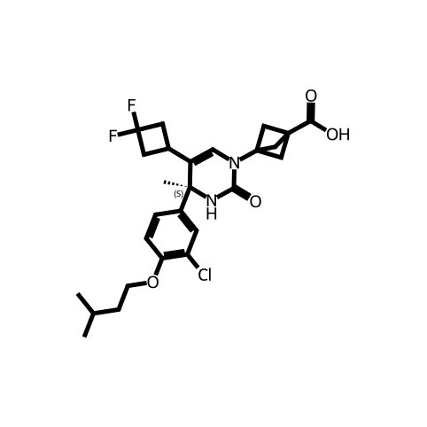 CC(C)CCOc1ccc([C@]2(C)NC(=O)N(C34CC(C(=O)O)(C3)C4)C=C2C2CC(F)(F)C2)cc1Cl